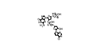 Nc1nc2c(ncn2[C@@H]2O[C@H](COP(=O)(O)O)CC2OP(=O)(O)OC[C@@H]2C[C@@H](O)[C@H](n3ccc4c(Cl)ncnc43)O2)c(=O)[nH]1